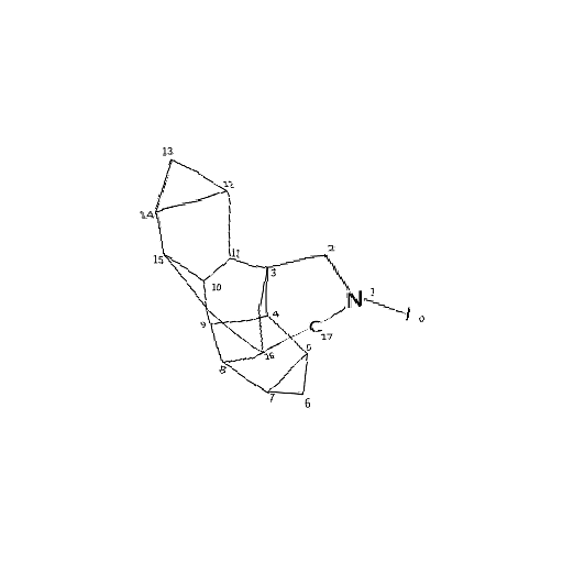 IN1CC23C4C5CC5C5C4C4C2C2CC2C4C53C1